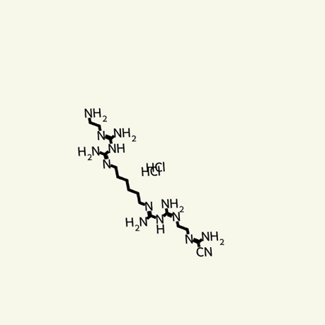 Cl.Cl.N#CC(N)=NCCN=C(N)NC(N)=NCCCCCCN=C(N)NC(N)=NCCN